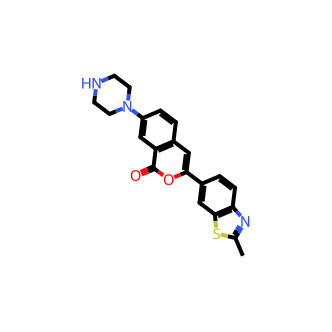 Cc1nc2ccc(-c3cc4ccc(N5CCNCC5)cc4c(=O)o3)cc2s1